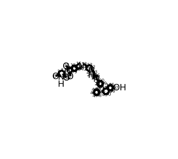 O=C1CCC(N2C(=O)c3cc4c(cc3C2=O)CN(CC2CCN(CC3(F)CN(c5ccc([C@@H]6c7ccc(O)cc7CC[C@@H]6c6ccccc6)cc5)C3)CC2)C4)C(=O)N1